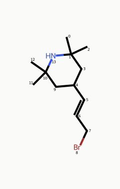 CC1(C)CC(C=CCBr)CC(C)(C)N1